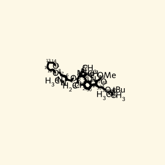 C=CC(OCc1cc(COC2CCCCO2)n(C)n1)c1nn(C)c(C)c1-c1c(Cl)ccc2c(CCCO[Si](C)(C)C(C)(C)C)c(C(=O)OC)n(C)c12